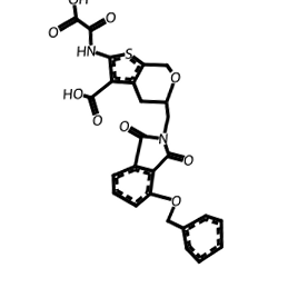 O=C(O)C(=O)Nc1sc2c(c1C(=O)O)CC(CN1C(=O)c3cccc(OCc4ccccc4)c3C1=O)OC2